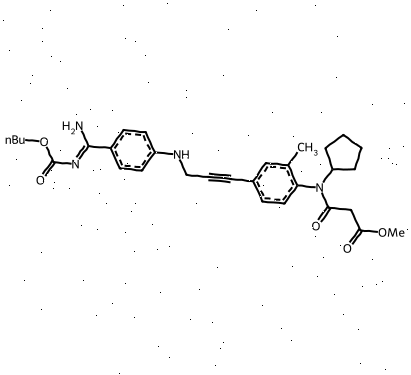 CCCCOC(=O)N=C(N)c1ccc(NCC#Cc2ccc(N(C(=O)CC(=O)OC)C3CCCC3)c(C)c2)cc1